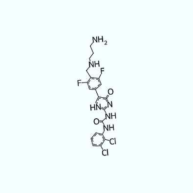 NCCCNCc1c(F)cc(-c2c[nH]c(NC(=O)Nc3cccc(Cl)c3Cl)nc2=O)cc1F